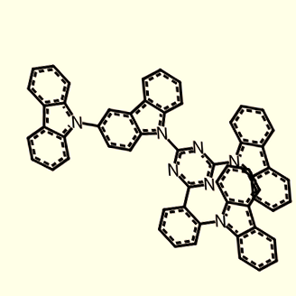 c1ccc(-n2c3ccccc3c3ccccc32)c(-c2nc(-n3c4ccccc4c4ccccc43)nc(-n3c4ccccc4c4cc(-n5c6ccccc6c6ccccc65)ccc43)n2)c1